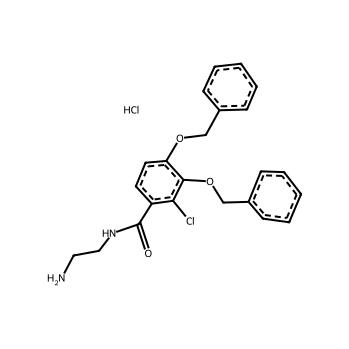 Cl.NCCNC(=O)c1ccc(OCc2ccccc2)c(OCc2ccccc2)c1Cl